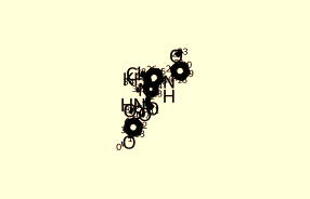 COc1ccc(S(=O)(=O)NC(=O)c2cc3c(Nc4cccc(OC)c4)ccc(Cl)c3n2C)cc1.[KH]